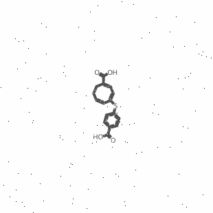 O=C(O)/C1=C/C=C(/Sc2ccc(C(=O)O)cc2)C=CCC1